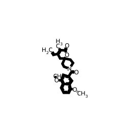 C=CC1=C(C)C(=O)OC2(CCN(C(=O)c3cc(OC)c4cccc(OC)c4c3)CC2)C1